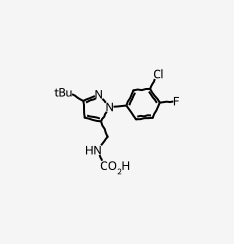 CC(C)(C)c1cc(CNC(=O)O)n(-c2ccc(F)c(Cl)c2)n1